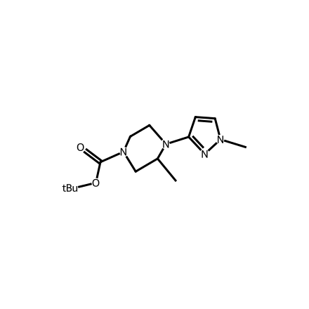 CC1CN(C(=O)OC(C)(C)C)CCN1c1ccn(C)n1